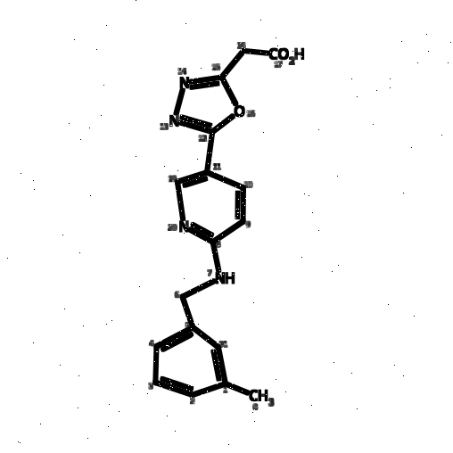 Cc1cccc(CNc2ccc(-c3nnc(CC(=O)O)o3)cn2)c1